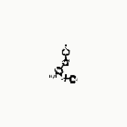 CN1CCC(c2ncc(-c3cnc(N)c(OC(C)(C)c4ccncc4)c3)s2)CC1